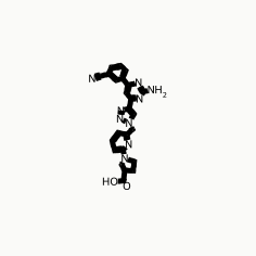 N#Cc1cccc(-c2cc(-c3cn(Cc4cccc(N5CCC(C(=O)O)C5)n4)nn3)nc(N)n2)c1